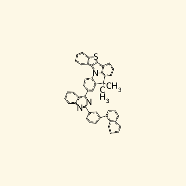 CC1(C)c2cc(-c3nc(-c4cccc(-c5cccc6ccccc56)c4)nc4ccccc34)ccc2-n2c3c1cccc3c1sc3ccccc3c12